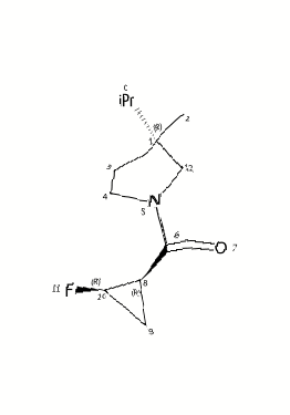 CC(C)[C@@]1(C)CCN(C(=O)[C@H]2C[C@H]2F)C1